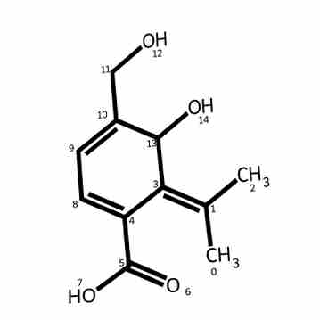 CC(C)=C1C(C(=O)O)=CC=C(CO)C1O